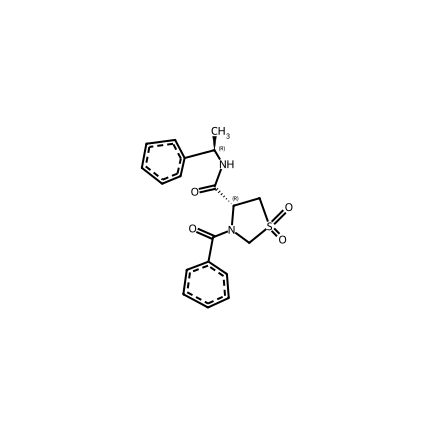 C[C@@H](NC(=O)[C@@H]1CS(=O)(=O)CN1C(=O)c1ccccc1)c1ccccc1